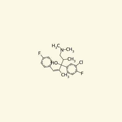 CC(=Cc1ccc(F)cc1)C(O)(c1ccc(F)c(Cl)c1)C(C)CN(C)C